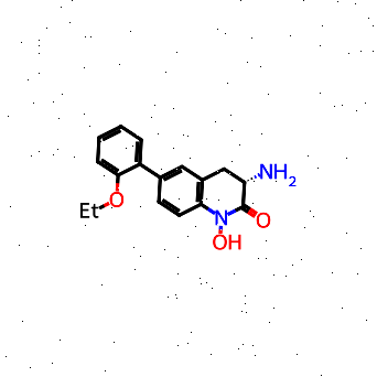 CCOc1ccccc1-c1ccc2c(c1)C[C@H](N)C(=O)N2O